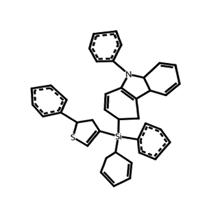 C1=CCC([Si](C2=CSC(c3ccccc3)C2)(c2ccccc2)C2C=CC3=C(C2)C2C=CC=CC2N3c2ccccc2)C=C1